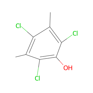 Cc1c(Cl)c(C)c(Cl)c(O)c1Cl